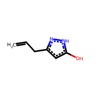 C=CCc1[c]c(O)[nH]n1